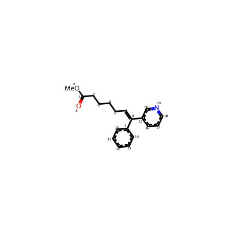 COC(=O)CCCC/C=C(\c1ccccc1)c1cccnc1